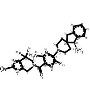 Nc1nc2c(s1)CN(C(=O)c1nc(F)c(N3CCC4(CC3)Cc3ccccc3[C@H]4N)nc1N)CC2(F)F